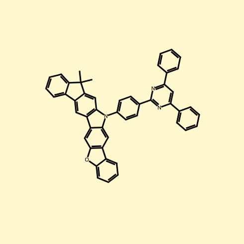 CC1(C)c2ccccc2-c2cc3c4cc5oc6ccccc6c5cc4n(-c4ccc(-c5nc(-c6ccccc6)cc(-c6ccccc6)n5)cc4)c3cc21